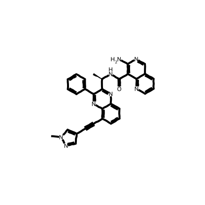 C[C@@H](NC(=O)c1c(N)ncc2cccnc12)c1nc2cccc(C#Cc3cnn(C)c3)c2nc1-c1ccccc1